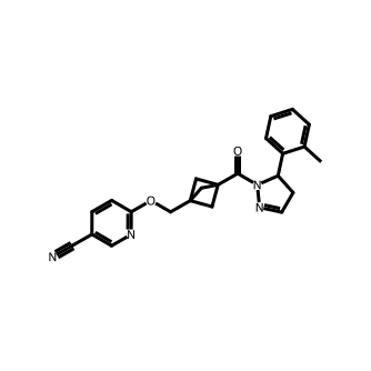 Cc1ccccc1C1CC=NN1C(=O)C12CC(COc3ccc(C#N)cn3)(C1)C2